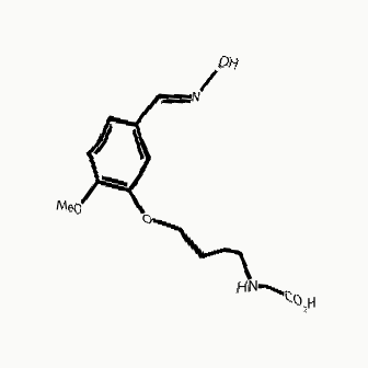 COc1ccc(C=NO)cc1OCCCNC(=O)O